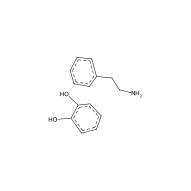 NCCc1ccccc1.Oc1ccccc1O